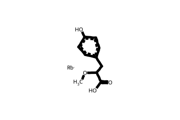 COC(Cc1ccc(O)cc1)C(=O)O.[Rb]